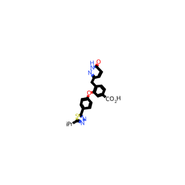 CC(C)c1nnc(-c2ccc(Oc3cc(C(=O)O)ccc3Cc3ccc(=O)[nH]n3)cc2)s1